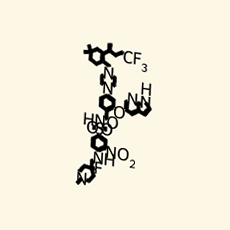 C=C(CCC(F)(F)F)C1=C(CN2CCN(c3ccc(C(=O)NS(=O)(=O)c4ccc(NCC5(F)CCN(C)CC5)c([N+](=O)[O-])c4)c(Oc4cnc5[nH]ccc5c4)c3)CC2)CCC(C)(C)C1